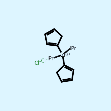 C[CH](C)[Zr+2]([C]1=CC=CC1)([C]1=CC=CC1)[CH](C)C.[Cl-].[Cl-]